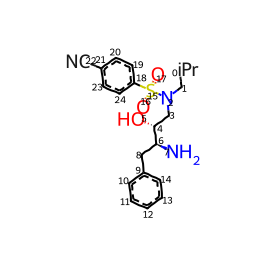 CC(C)CN(C[C@@H](O)[C@@H](N)Cc1ccccc1)S(=O)(=O)c1ccc(C#N)cc1